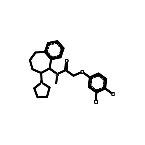 CN(C(=O)COc1ccc(Cl)c(Cl)c1)C1c2ccccc2CCCC1N1CCCC1